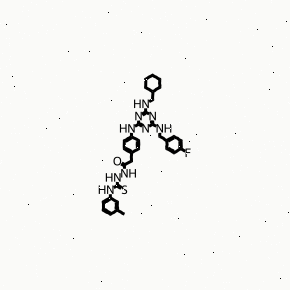 Cc1cccc(NC(=S)NNC(=O)Cc2ccc(Nc3nc(NCc4ccc(F)cc4)nc(NCC4CCCCC4)n3)cc2)c1